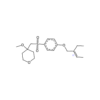 C/C=C(\CC)COc1ccc(S(=O)(=O)CC2(OC)CCOCC2)cc1